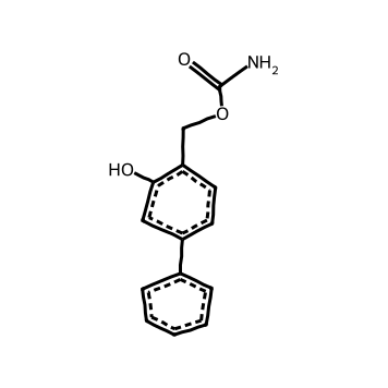 NC(=O)OCc1ccc(-c2ccccc2)cc1O